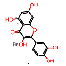 O=c1c(O)c(-c2ccc(O)c(O)c2)oc2cc(O)cc(O)c12.[Fe]